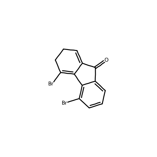 O=C1C2=CCCC(Br)=C2c2c(Br)cccc21